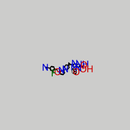 N#Cc1ccc(COc2cccc(N3CCC4(CC3)CC4c3nc4[nH]c(C(=O)O)nc4n3C[C@@H]3CCO3)n2)c(F)c1